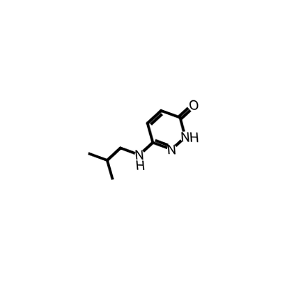 CC(C)CNc1ccc(=O)[nH]n1